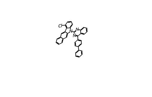 Clc1cccc2c1c1cc3ccccc3cc1n2-c1nc(-c2ccc(-c3ccccc3)cc2)c2ccccc2n1